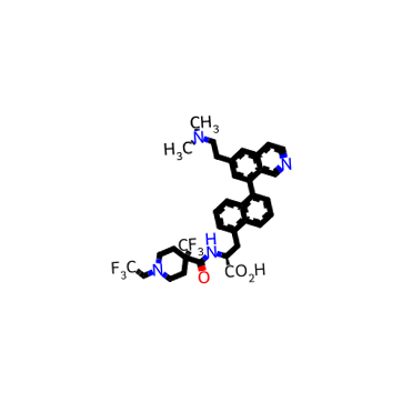 CN(C)CCc1cc(-c2cccc3c(C[C@H](NC(=O)C4(C(F)(F)F)CCN(CC(F)(F)F)CC4)C(=O)O)cccc23)c2cnccc2c1